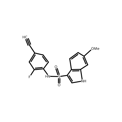 C#Cc1ccc(NS(=O)(=O)c2c[nH]c3cc(OC)ccc23)c(F)c1